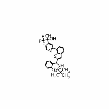 CC(C)(C)[S+]([O-])NC(c1cc2cccc(-c3cc(C(C)(O)C(F)(F)F)ccn3)c2s1)c1ccccc1Cl